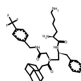 NCCCC[C@H](N)C(=O)N[C@@H](Cc1ccccc1)CN(CC(=O)NCc1ccc(C(F)(F)F)cc1)C(=O)CC12CC3CC(CC(C3)C1)C2